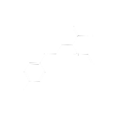 O=CNC(CCOc1ccc(F)cc1)C(=O)O